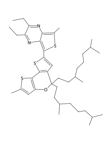 CCc1nc2c(C)sc(-c3cc4c(s3)-c3sc(C)cc3OC4(CCC(C)CCCC(C)C)CCC(C)CCCC(C)C)c2nc1CC